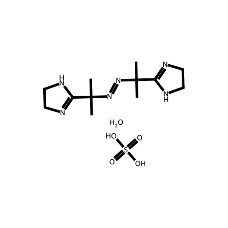 CC(C)(/N=N/C(C)(C)C1=NCCN1)C1=NCCN1.O.O=S(=O)(O)O